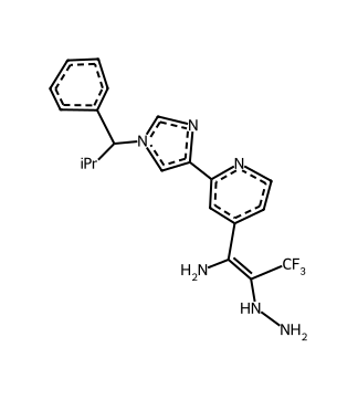 CC(C)C(c1ccccc1)n1cnc(-c2cc(/C(N)=C(/NN)C(F)(F)F)ccn2)c1